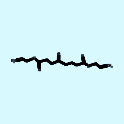 C=CCOC(=O)CCCC(=O)CCC(=O)OCC=C